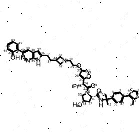 Cc1ncsc1-c1ccc(C(C)(C)NC(=O)[C@@H]2C[C@@H](O)CN2C(=O)[C@@H](c2cc(OCCN3CC(CCc4cc5cc(-c6ccccc6O)nnc5[nH]4)C3)no2)C(C)C)cc1